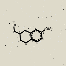 COc1ccc2c(c1)CC(CO)CC2